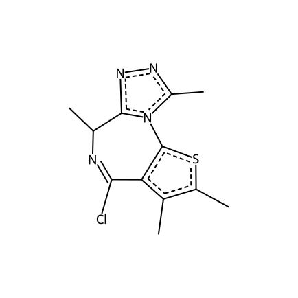 Cc1sc2c(c1C)C(Cl)=NC(C)c1nnc(C)n1-2